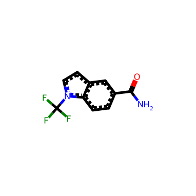 NC(=O)c1ccc2c(ccn2C(F)(F)F)c1